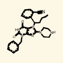 CCCC(c1ccccc1C#N)n1c(N2CCNCC2)nc2c1c(=O)[nH]c(=O)n2Cc1ccccc1